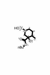 CCCCOC(=O)C1(CC)CN(C(=O)O)CCC1C